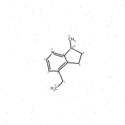 CCc1ccnc2c1CCN2C